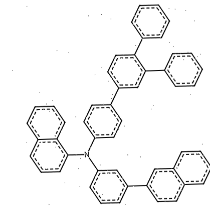 c1ccc(-c2ccc(-c3ccc(N(c4cccc(-c5ccc6ccccc6c5)c4)c4cccc5ccccc45)cc3)cc2-c2ccccc2)cc1